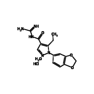 CCc1c(C(=O)NC(=N)N)cnn1-c1ccc2c(c1)OCO2.Cl.O